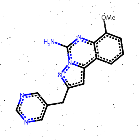 COc1cccc2c1nc(N)n1nc(Cc3cncnc3)cc21